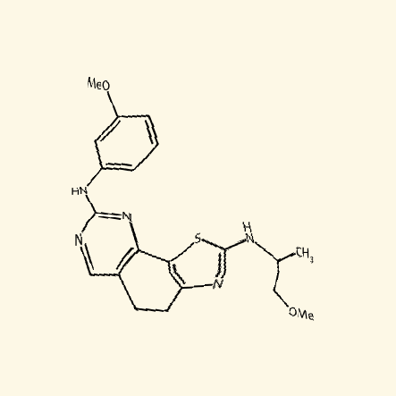 COCC(C)Nc1nc2c(s1)-c1nc(Nc3cccc(OC)c3)ncc1CC2